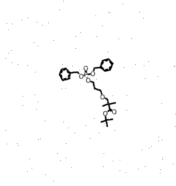 CC(C)(C)OC(=O)C(C)(C)COCCCOP(=O)(OCc1ccccc1)OCc1ccccc1